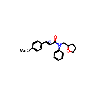 COc1ccc(/C=C/C(=O)N(CC2CCCO2)c2ccccc2)cc1